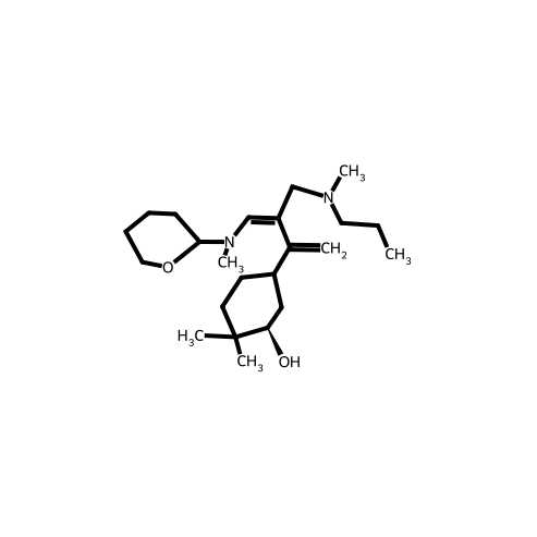 C=C(/C(=C\N(C)C1CCCCO1)CN(C)CCC)C1CCC(C)(C)[C@H](O)C1